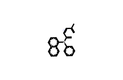 C=C(C)/C=C\C(=C)N(c1ccccc1)c1cccc2ccccc12